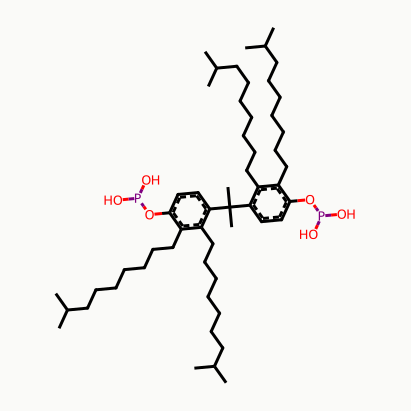 CC(C)CCCCCCCc1c(OP(O)O)ccc(C(C)(C)c2ccc(OP(O)O)c(CCCCCCCC(C)C)c2CCCCCCCC(C)C)c1CCCCCCCC(C)C